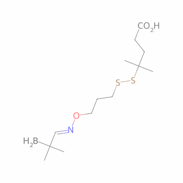 BC(C)(C)/C=N/OCCCSSC(C)(C)CCC(=O)O